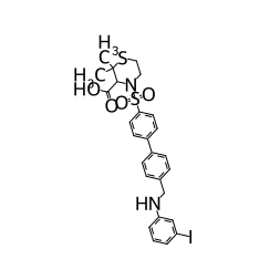 CC1(C)SCCN(S(=O)(=O)c2ccc(-c3ccc(CNc4cccc(I)c4)cc3)cc2)C1C(=O)O